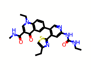 CCNC(=O)Nc1cc(-c2nc(CC)cs2)c(-c2ccc3c(c2)c(=O)c(C(=O)NC)cn3CC)cn1